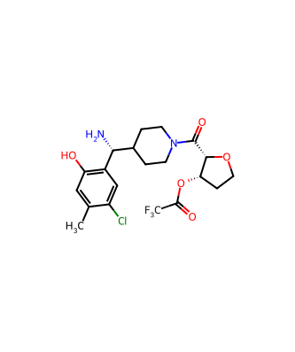 Cc1cc(O)c([C@H](N)C2CCN(C(=O)[C@@H]3OCC[C@@H]3OC(=O)C(F)(F)F)CC2)cc1Cl